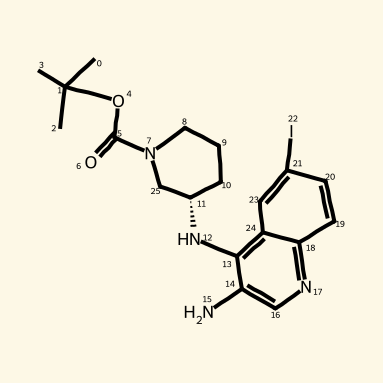 CC(C)(C)OC(=O)N1CCC[C@H](Nc2c(N)cnc3ccc(I)cc23)C1